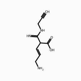 C#CCNC(=N)C(C=CCN)C(=O)O